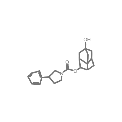 O=C(OC1C2CC3CC1CC(O)(C3)C2)N1CCC(c2ccccc2)C1